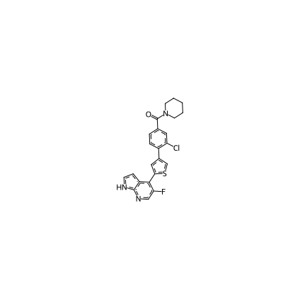 O=C(c1ccc(-c2csc(-c3c(F)cnc4[nH]ccc34)c2)c(Cl)c1)N1CCCCC1